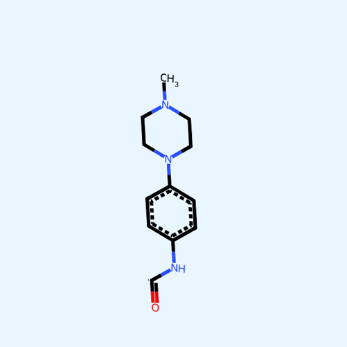 CN1CCN(c2ccc(N[C]=O)cc2)CC1